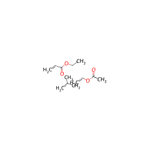 C=C(C)C.C=CC(=O)OCC.C=COC(C)=O